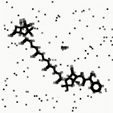 CC1(C)S[C@@H]2[C@H](NC(=O)C(N)c3ccccc3)C(=O)N2[C@H]1C(=O)OCOC(=O)CCCC(=O)OCOC(=O)[C@@H]1N2C(=O)C[C@H]2S(=O)(=O)C1(C)C.Cl